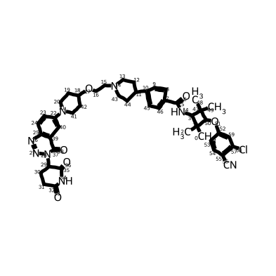 CC1(C)C(NC(=O)c2ccc(C3CCN(CCOC4CCN(c5ccc6nnn(C7CCC(=O)NC7=O)c(=O)c6c5)CC4)CC3)cc2)C(C)(C)C1Oc1ccc(C#N)c(Cl)c1